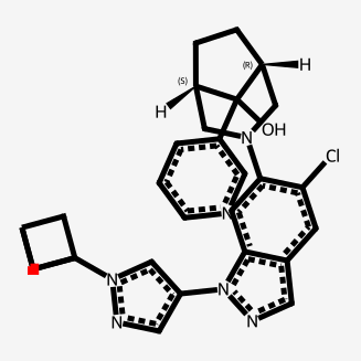 OC1(c2cccnc2)[C@@H]2CC[C@H]1CN(c1cc3c(cnn3-c3cnn(C45CC(C4)C5)c3)cc1Cl)C2